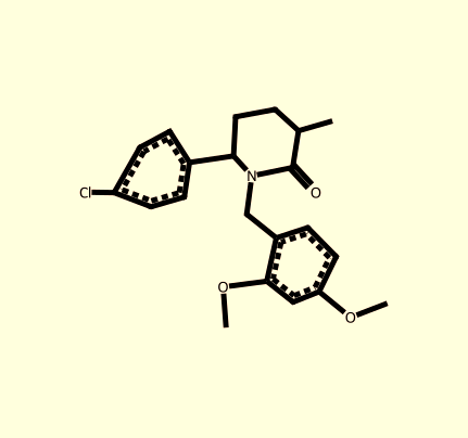 COc1ccc(CN2C(=O)C(C)CCC2c2ccc(Cl)cc2)c(OC)c1